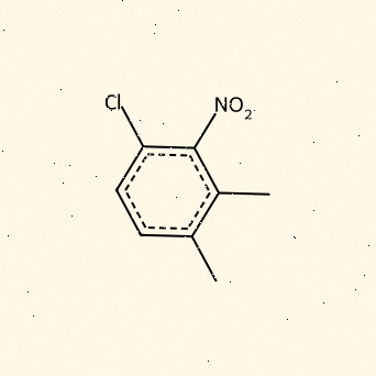 Cc1ccc(Cl)c([N+](=O)[O-])c1C